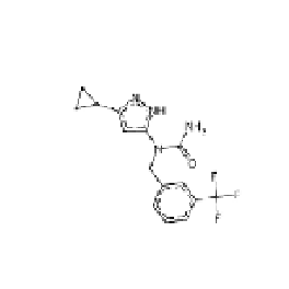 NC(=O)N(Cc1cccc(C(F)(F)F)c1)c1cc(C2CC2)n[nH]1